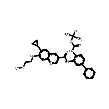 COCCNc1cc2ncc(C(=O)Nc3cc(-c4ccccc4)ccc3NC(=O)OC(C)(C)C)cc2cc1C1CC1